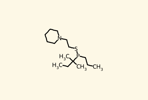 CCCP(SCCN1CCCCC1)C(C)(C)CC